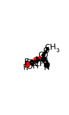 CCOCCOC(=O)C1CN(Cc2ccncc2)CCN1Cc1ccc(-c2ccc(C(O)(C(F)(F)F)C(F)(F)F)cc2)c(C)c1